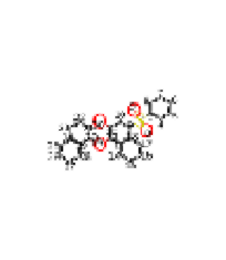 O=S(=O)(c1ccccc1)c1cc2c(c3ccccc13)Oc1c(ccc3ccccc13)O2